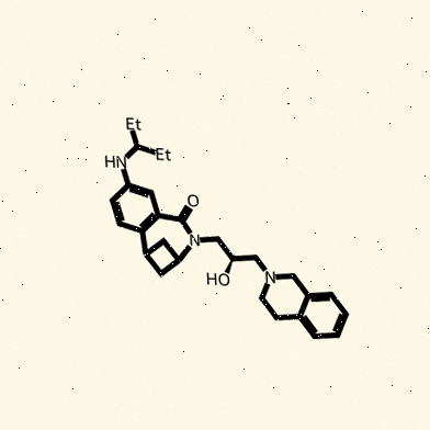 CCC(CC)Nc1ccc2c(c1)C(=O)N(C[C@H](O)CN1CCc3ccccc3C1)C1CC2C1